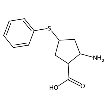 NC1CC(Sc2ccccc2)CC1C(=O)O